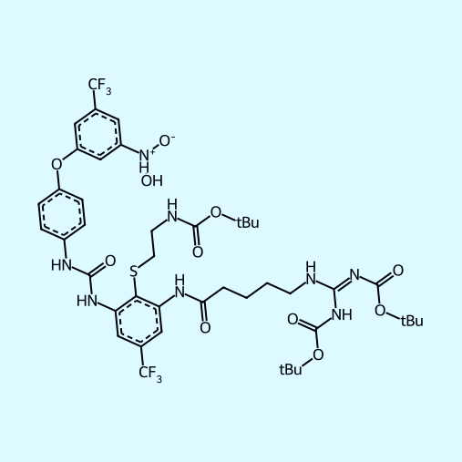 CC(C)(C)OC(=O)N=C(NCCCCC(=O)Nc1cc(C(F)(F)F)cc(NC(=O)Nc2ccc(Oc3cc([NH+]([O-])O)cc(C(F)(F)F)c3)cc2)c1SCCNC(=O)OC(C)(C)C)NC(=O)OC(C)(C)C